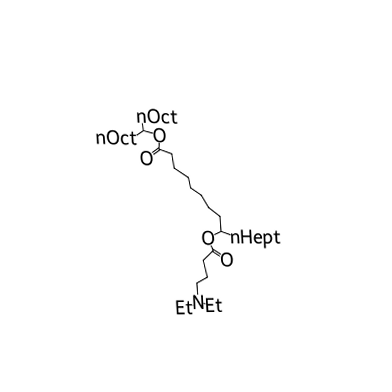 CCCCCCCCC(CCCCCCCC)OC(=O)CCCCCCCC(CCCCCCC)OC(=O)CCCN(CC)CC